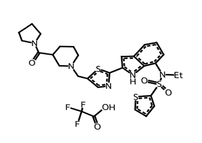 CCN(c1cccc2cc(-c3ncc(CN4CCCC(C(=O)N5CCCC5)C4)s3)[nH]c12)S(=O)(=O)c1cccs1.O=C(O)C(F)(F)F